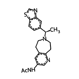 CC(=O)Nc1cnc2c(c1)CCN([C@H](C)c1ccc3scnc3c1)CC2